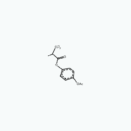 CC(=O)Oc1ccc(OC(=O)C(C)C(Cl)(Cl)Cl)cc1